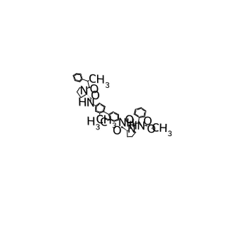 COC(=O)N[C@@H](C(=O)N1CCC[C@H]1C(=O)Nc1ccc(-c2ccc(NC(=O)[C@@H]3CCCN3C(=O)[C@H](C)c3ccccc3)cc2C)c(C)c1)c1ccccc1